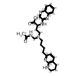 CC(=O)NCN(CCCCc1ccc2c(n1)NCCC2)CCC(Nc1cnc2ccccc2n1)C(=O)O